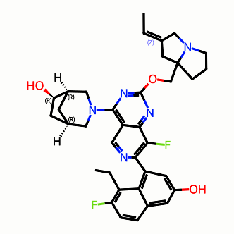 C/C=C1\CN2CCCC2(COc2nc(N3C[C@@H]4C[C@H](C3)[C@H](O)C4)c3cnc(-c4cc(O)cc5ccc(F)c(CC)c45)c(F)c3n2)C1